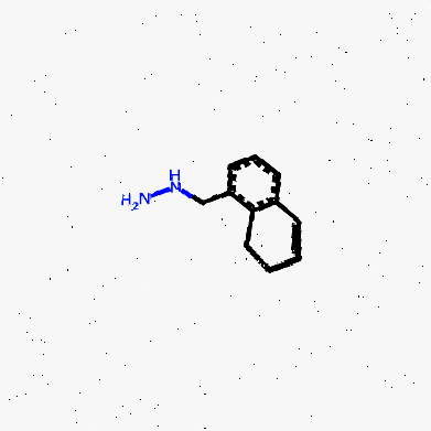 NNCc1cccc2c1CCC=C2